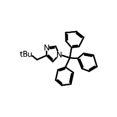 CC(C)(C)Cc1cn(C(c2ccccc2)(c2ccccc2)c2ccccc2)cn1